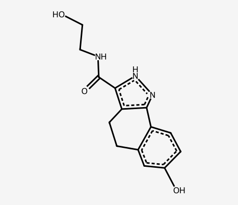 O=C(NCCO)c1[nH]nc2c1CCc1cc(O)ccc1-2